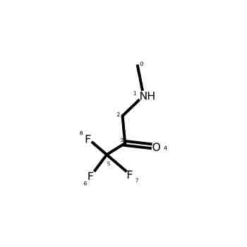 CNCC(=O)C(F)(F)F